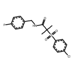 CC(C)(C(=O)NCc1ccc(F)cc1)S(=O)(=O)c1ccc(Cl)cc1